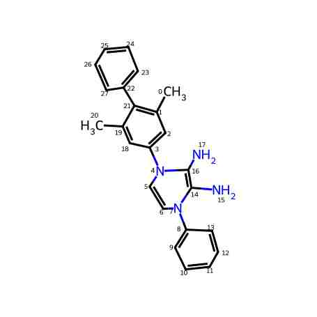 Cc1cc(N2C=CN(c3ccccc3)C(N)=C2N)cc(C)c1-c1ccccc1